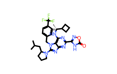 CC(C)CC1CCCN1c1nc2nc(-c3noc(=O)[nH]3)nc(N[C@H](C)C3CCC3)c2n1Cc1ccc(C(F)(F)F)cc1